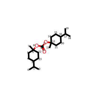 CC(C)C1CCC(C)(OC(=O)OC2(C)CCC(C(C)C)CC2)CC1